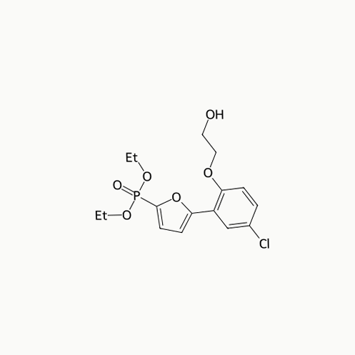 CCOP(=O)(OCC)c1ccc(-c2cc(Cl)ccc2OCCO)o1